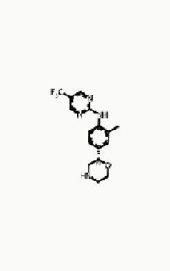 Cc1cc([C@H]2CNCCO2)ccc1Nc1ncc(C(F)(F)F)cn1